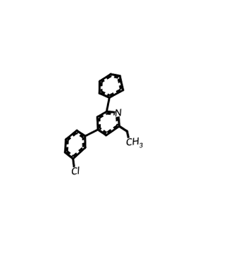 CCc1cc(-c2cccc(Cl)c2)cc(-c2ccccc2)n1